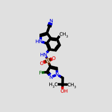 Cc1ccc(NS(=O)(=O)c2cn(CC(C)(C)O)nc2F)c2[nH]cc(C#N)c12